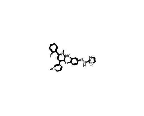 CN1C=C(C2=C(Oc3ccc(SNc4nccs4)cc3C#N)CN(C)C(c3ccccc3F)=C2)C=CC1